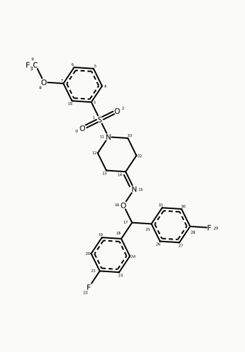 O=S(=O)(c1cccc(OC(F)(F)F)c1)N1CCC(=NOC(c2ccc(F)cc2)c2ccc(F)cc2)CC1